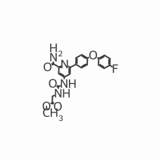 COC(=O)CNC(=O)Nc1cc(C(N)=O)nc(-c2ccc(Oc3ccc(F)cc3)cc2)c1